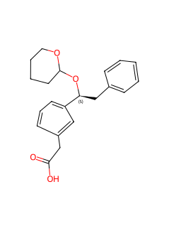 O=C(O)Cc1cccc([C@H](Cc2ccccc2)OC2CCCCO2)c1